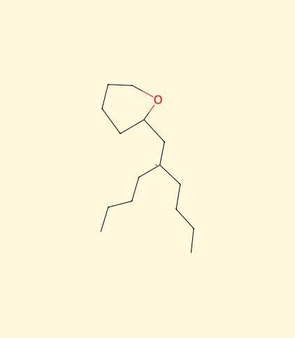 CCCC[C](CCCC)CC1CCCCO1